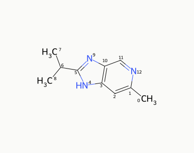 Cc1cc2[nH]c(C(C)C)nc2cn1